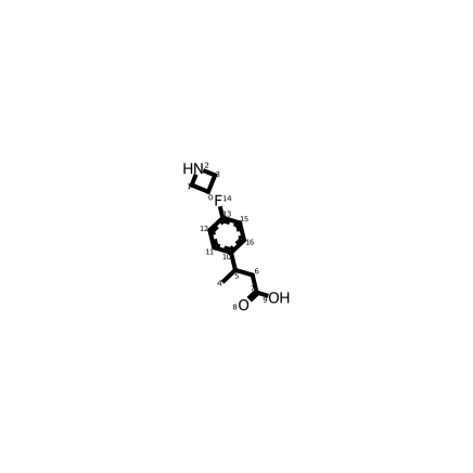 C1CNC1.CC(CC(=O)O)c1ccc(F)cc1